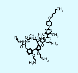 CCCCCOC1CCN(c2nc(C)c(C(=O)N[C@@H](CCN)C(=O)N(C)[C@@H]3C(=O)N[C@@H](C)C(=O)N[C@H](C(=O)NCC#N)Cc4ccc(OCCN)c(c4)-c4cc3ccc4OCCN)c(C)n2)CC1